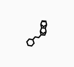 C1=CC2CC1C1C3CC(CCC4CCCCC4)C(C3)C21